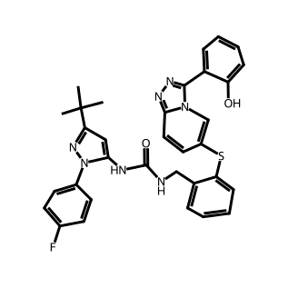 CC(C)(C)c1cc(NC(=O)NCc2ccccc2Sc2ccc3nnc(-c4ccccc4O)n3c2)n(-c2ccc(F)cc2)n1